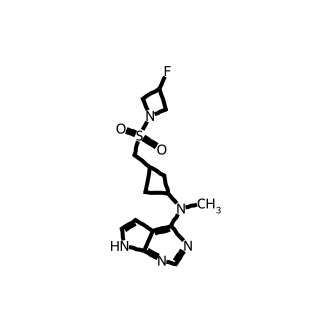 CN(c1ncnc2[nH]ccc12)C1CC(CS(=O)(=O)N2CC(F)C2)C1